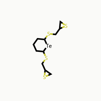 C1CC(SCC2CS2)[Te]C(SCC2CS2)C1